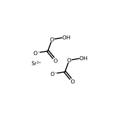 O=C([O-])OO.O=C([O-])OO.[Sr+2]